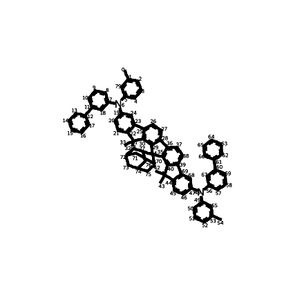 Cc1cccc(N(c2cccc(-c3ccccc3)c2)c2ccc3c(c2)-c2ccc4c(c2C3(C)C)C2(c3c-4ccc4c3C(C)(C)c3ccc(N(c5cccc(C)c5)c5cccc(-c6ccccc6)c5)cc3-4)C3CC4CC(C3)CC2C4)c1